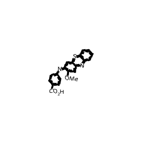 COc1cc2nc3ccccc3sc-2c/c1=N/c1ccc(C(=O)O)cc1